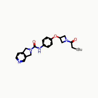 CC(C)(C)CC(=O)N1CC(Oc2ccc(NC(=O)N3Cc4ccncc4C3)cc2)C1